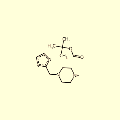 CC(C)(C)OC=O.c1csc(CN2CCNCC2)n1